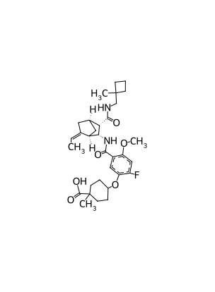 C/C=C1/C[C@@H]2C[C@H]1[C@@H](NC(=O)c1cc(OC3CCC(C)(C(=O)O)CC3)c(F)cc1OC)[C@H]2C(=O)NCC1(C)CCC1